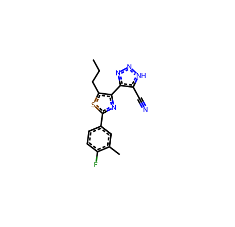 CCCc1sc(-c2ccc(F)c(C)c2)nc1-c1nn[nH]c1C#N